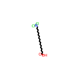 O=C(O)CCCCCCCCCCCCCCCCCN(Cl)Cl